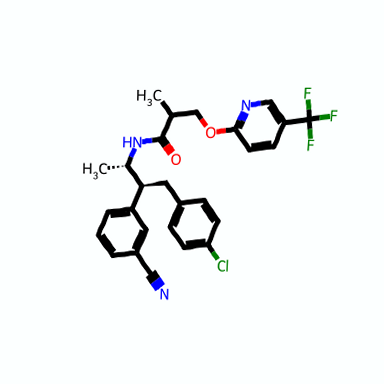 CC(COc1ccc(C(F)(F)F)cn1)C(=O)N[C@@H](C)[C@@H](Cc1ccc(Cl)cc1)c1cccc(C#N)c1